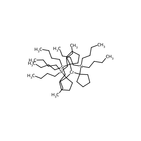 CCCC[Si](CCCC)(CCCC)[C]1([Cr]([C]2([Si](CCCC)(CCCC)CCCC)CCCC2)[C]2([Si](CCCC)(CCCC)CCCC)CCCC2)CCCC1